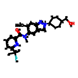 COc1cc2nn([C@H]3CC[C@H](CO)CC3)cc2cc1N(C)C(=O)c1cccc(C(C)(C)F)n1